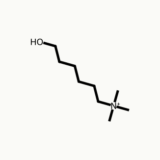 C[N+](C)(C)CCCCCCO